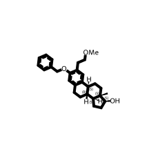 COCCc1cc2c(cc1OCc1ccccc1)CC[C@@H]1[C@@H]2CC[C@]2(C)[C@@H](O)CC[C@@H]12